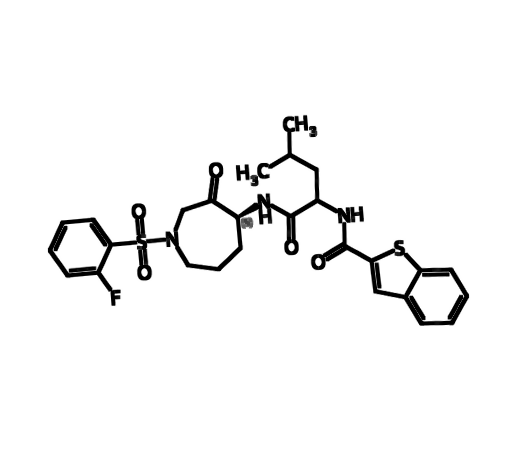 CC(C)CC(NC(=O)c1cc2ccccc2s1)C(=O)N[C@H]1CCCN(S(=O)(=O)c2ccccc2F)CC1=O